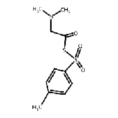 Cc1ccc(S(=O)(=O)SC(=O)CN(C)C)cc1